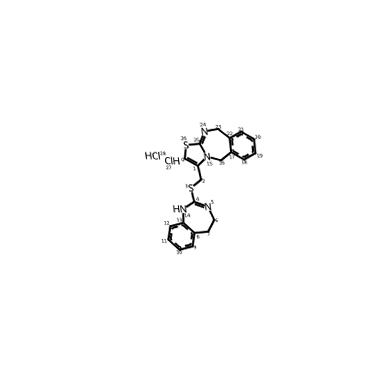 C1=C(CSC2=NCCc3ccccc3N2)N2Cc3ccccc3CN=C2S1.Cl.Cl